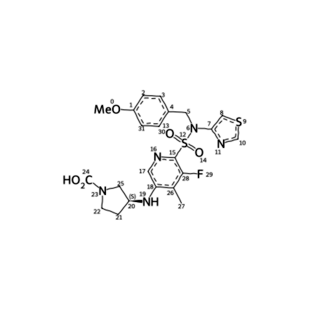 COc1ccc(CN(c2cscn2)S(=O)(=O)c2ncc(N[C@H]3CCN(C(=O)O)C3)c(C)c2F)cc1